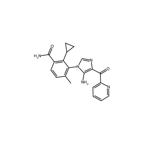 Cc1ccc(C(N)=O)c(C2CC2)c1-n1cnc(C(=O)c2ccccn2)c1N